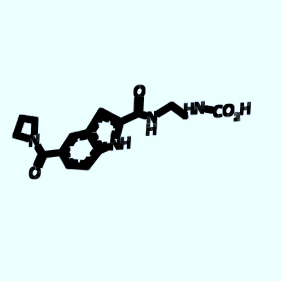 O=C(O)NCCNC(=O)c1cc2cc(C(=O)N3CCC3)ccc2[nH]1